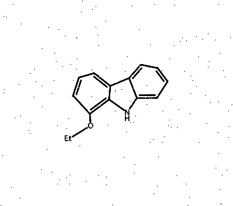 CCOc1cccc2c1[nH]c1ccccc12